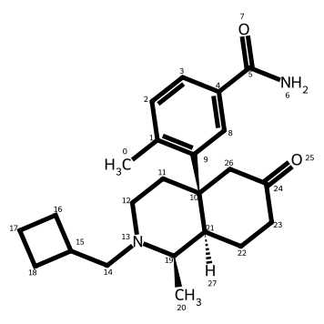 Cc1ccc(C(N)=O)cc1[C@]12CCN(CC3CCC3)[C@H](C)[C@@H]1CCC(=O)C2